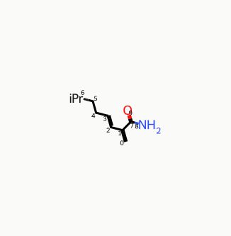 C=C(C=CCCC(C)C)C(N)=O